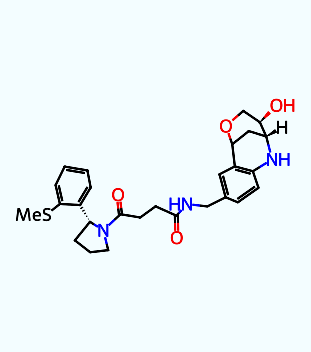 CSc1ccccc1[C@H]1CCCN1C(=O)CCC(=O)NCc1ccc2c(c1)C1C[C@@H](N2)[C@H](O)CO1